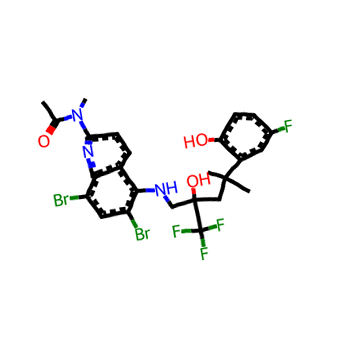 CC(=O)N(C)c1ccc2c(NCC(O)(CC(C)(C)c3cc(F)ccc3O)C(F)(F)F)c(Br)cc(Br)c2n1